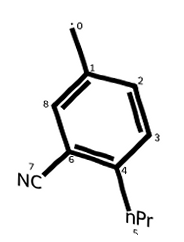 [CH2]c1ccc(CCC)c(C#N)c1